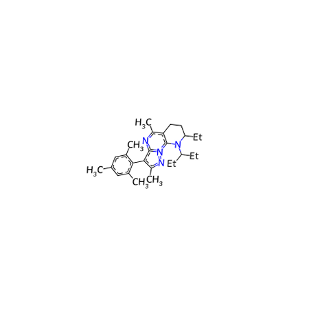 CCC(CC)N1c2c(c(C)nc3c(-c4c(C)cc(C)cc4C)c(C)nn23)CCC1CC